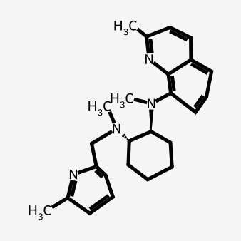 Cc1cccc(CN(C)[C@H]2CCCC[C@@H]2N(C)c2cccc3ccc(C)nc23)n1